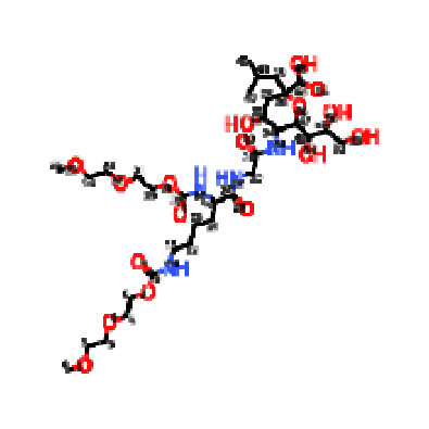 COCCOCCOC(=O)NCCCCC(NC(=O)OCCOCCOC)C(=O)NCC(=O)NC1C(O)CC(CC(C)C)(C(=O)O)OC1C(O)C(O)CO